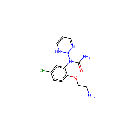 NCCOc1ccc(Cl)cc1N(C(N)=O)N1N=CC=CN1